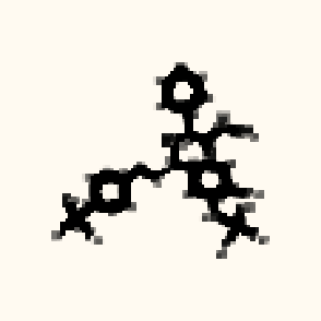 CNC(=O)[C@@H](N[C@@H](CCc1ccc(C(F)(F)F)cc1)c1ccc(F)c(OC(F)(F)F)c1)c1ccccc1